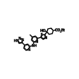 CCOC(=O)[C@H]1CC[C@](O)(c2ncc(-c3cc(C)cc(Nc4cc(-c5c[nH]nn5)ccn4)n3)s2)CC1